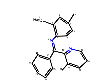 COc1cc(C)ccc1N=C(c1ccccc1)c1ncccc1C